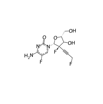 Nc1nc(=O)n([C@@H]2O[C@H](CO)C(O)[C@]2(F)C#CCF)cc1F